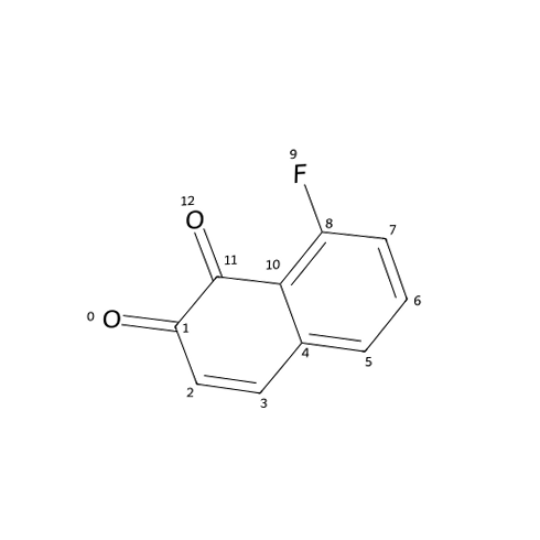 O=C1C=Cc2cccc(F)c2C1=O